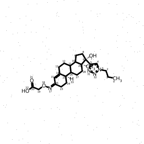 CCCn1cc([C@]2(O)CCC3C4CCC5=C/C(=N\OCC(=O)O)CC[C@@H]5C4CC[C@@]32C)nn1